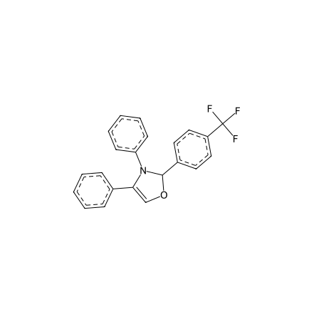 FC(F)(F)c1ccc(C2OC=C(c3ccccc3)N2c2ccccc2)cc1